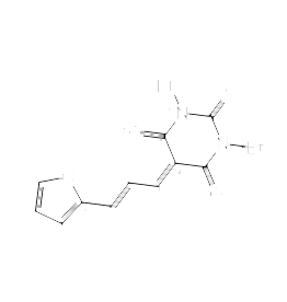 CCN1C(=O)C(=C/C=C/c2ccco2)C(=O)N(CC)C1=S